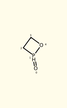 O=[PH]1C[CH]O1